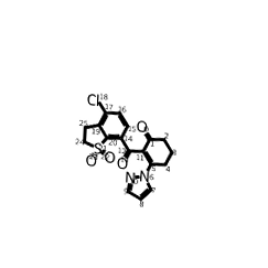 O=C1CCCC(n2cccn2)=C1C(=O)c1ccc(Cl)c2c1S(=O)(=O)CC2